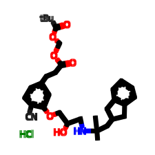 CC(C)(CC1Cc2ccccc2C1)NCC(O)COc1cc(CCC(=O)OCOC(=O)C(C)(C)C)ccc1C#N.Cl